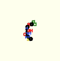 O=C(NC[C@@H](O)CN1CCC(Oc2ccc(Cl)c(Cl)c2)CC1)c1cn2c(n1)sc1ccccc12